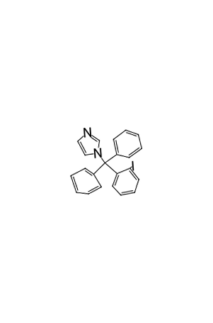 Ic1ccccc1C(c1ccccc1)(c1ccccc1)n1ccnc1